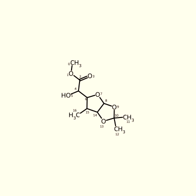 COC(=O)C(O)C1OC2OC(C)(C)OC2C1C